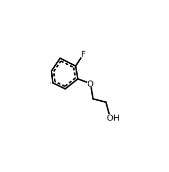 OCCOc1c[c]ccc1F